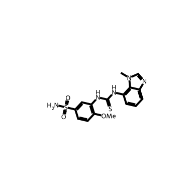 COc1ccc(S(N)(=O)=O)cc1NC(=S)Nc1cccc2ncn(C)c12